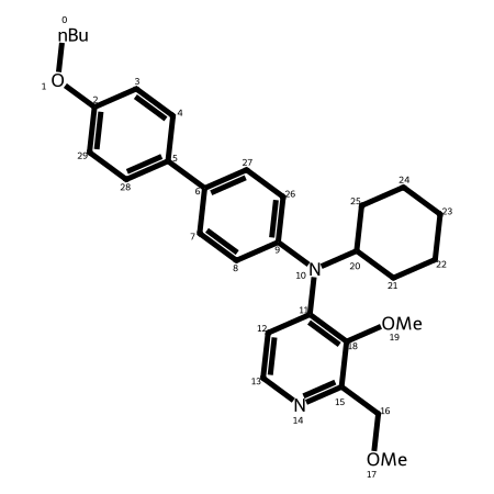 CCCCOc1ccc(-c2ccc(N(c3ccnc(COC)c3OC)C3CCCCC3)cc2)cc1